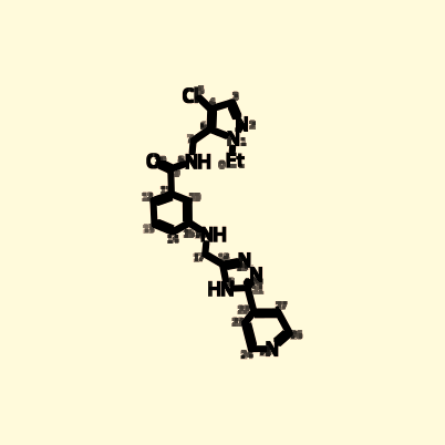 CCn1ncc(Cl)c1CNC(=O)c1cccc(NCc2nnc(-c3ccncc3)[nH]2)c1